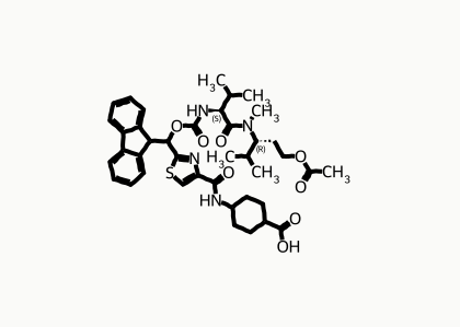 CC(=O)OCC[C@H](C(C)C)N(C)C(=O)[C@@H](NC(=O)OC(c1nc(C(=O)NC2CCC(C(=O)O)CC2)cs1)C1c2ccccc2-c2ccccc21)C(C)C